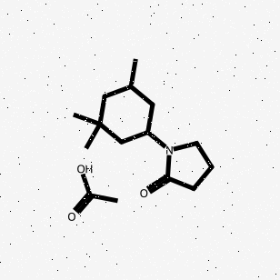 CC(=O)O.CC1CC(N2CCCC2=O)CC(C)(C)C1